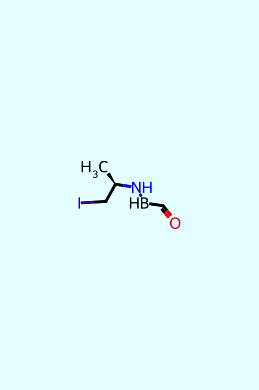 C[C@H](CI)NBC=O